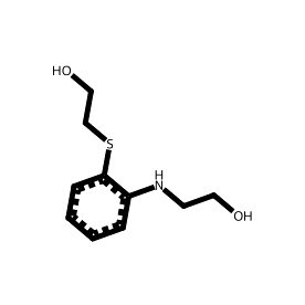 OCCNc1ccccc1SCCO